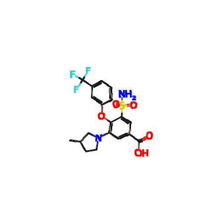 CC1CCN(c2cc(C(=O)O)cc(S(N)(=O)=O)c2Oc2cccc(C(F)(F)F)c2)C1